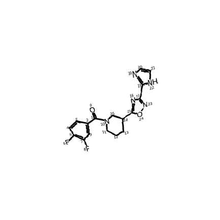 O=C(c1ccc(F)c(F)c1)N1CCCC(c2nc(-c3ncc[nH]3)no2)C1